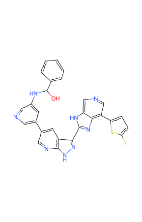 OC(Nc1cncc(-c2cnc3[nH]nc(-c4nc5c(-c6ccc(F)s6)cncc5[nH]4)c3c2)c1)c1ccccc1